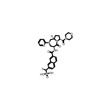 O=C(N[C@H]1CN(c2ccccn2)C[C@H]2CC[C@@H](C(=O)N3CCOCC3)N2C1=O)c1ccc2ccc(C(F)P(=O)(O)O)cc2c1